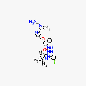 CCC(=C/N=C\CN)c1cc(COc2ccc(NC(=O)Nc3cc(C(C)(C)C)nn3-c3cccc(F)c3)c3ccccc23)ccn1